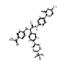 Cc1cc(Cl)ccc1-c1ccc(NC(=O)[C@H](Cc2ccc(C(=O)O)cc2)c2ccc(C3=CC[C@H](C(C)(C)C)CC3)cc2)cc1